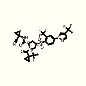 N#CC1(NC(=O)[C@@H]2C[C@@H](S(=O)(=O)c3ccc(-n4cc(C(F)(F)F)cn4)cc3C(F)(F)F)CN2C(=O)C2(C(F)(F)F)CC2)CC1